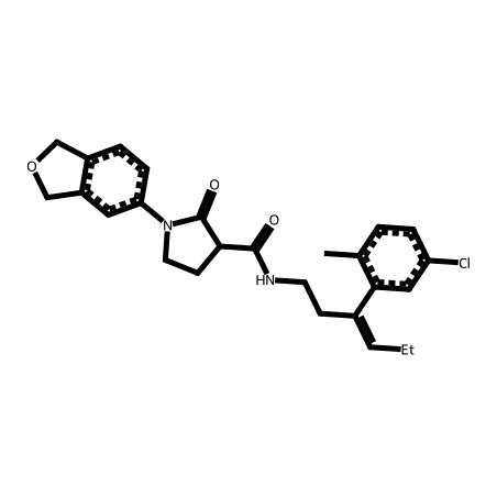 CC/C=C(/CCNC(=O)C1CCN(c2ccc3c(c2)COC3)C1=O)c1cc(Cl)ccc1C